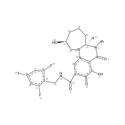 CC(C)N1C(=O)c2c(O)c(=O)c(C(=O)NCc3c(F)cc(F)cc3F)cn2N2C[C@@H](O)CCC[C@@H]12